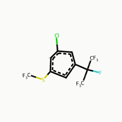 FC(F)(F)Sc1[c]c(Cl)cc(C(F)(C(F)(F)F)C(F)(F)F)c1